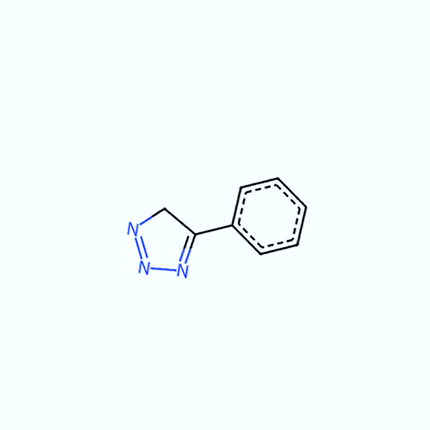 c1ccc(C2=NN=NC2)cc1